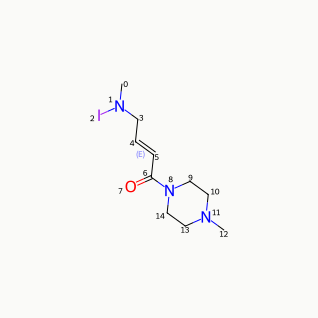 CN(I)C/C=C/C(=O)N1CCN(C)CC1